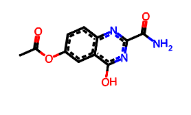 CC(=O)Oc1ccc2nc(C(N)=O)nc(O)c2c1